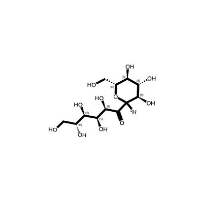 [2H]C1(C(=O)[C@H](O)[C@@H](O)[C@H](O)[C@H](O)CO)O[C@H](CO)[C@@H](O)[C@H](O)[C@H]1O